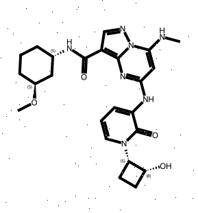 CNc1cc(Nc2cccn([C@H]3CC[C@H]3O)c2=O)nc2c(C(=O)N[C@H]3CCC[C@H](OC)C3)cnn12